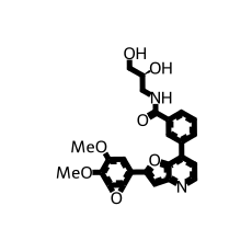 COc1cc(-c2cc3nccc(-c4cccc(C(=O)NC[C@@H](O)CO)c4)c3o2)c2c(c1OC)O2